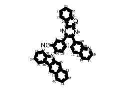 N#Cc1cc(-c2nc3c(nc2-c2ccc4cccnc4c2)oc2ccccc23)ccc1-n1c2ccccc2c2cc3ccccc3cc21